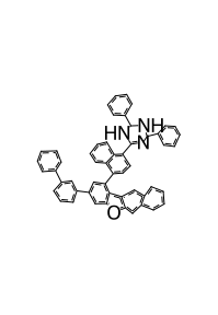 c1ccc(-c2cccc(-c3cc(-c4ccc(C5=NC(c6ccccc6)NC(c6ccccc6)N5)c5ccccc45)c4c(c3)oc3cc5ccccc5cc34)c2)cc1